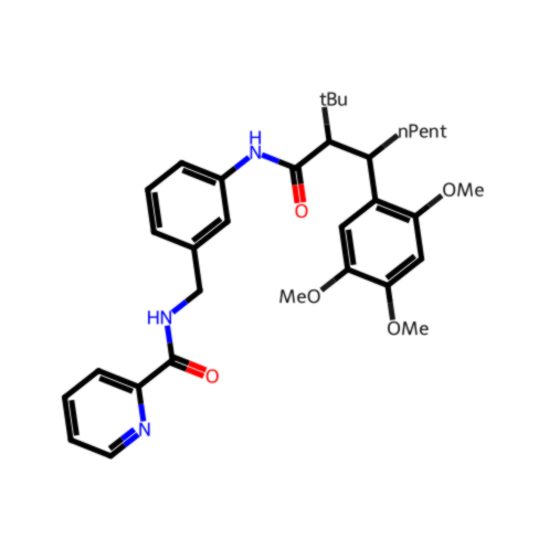 CCCCCC(c1cc(OC)c(OC)cc1OC)C(C(=O)Nc1cccc(CNC(=O)c2ccccn2)c1)C(C)(C)C